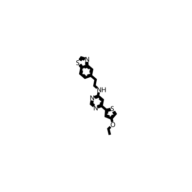 CCOc1csc(-c2cc(NCCc3ccc4scnc4c3)ncn2)c1